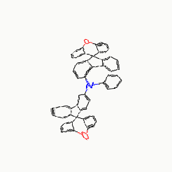 c1ccc(N(c2ccc3c(c2)-c2ccccc2C32c3ccccc3Oc3ccccc32)c2cccc3c2-c2ccccc2C32c3ccccc3Oc3ccccc32)cc1